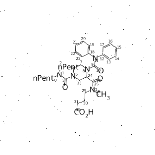 CCCCCN(CCCCC)C(=O)N1CCN(C(=O)N(c2ccccc2)c2ccccc2)C(C(=O)N(C)CCCC(=O)O)C1